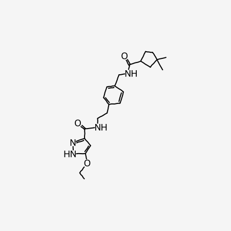 CCOc1cc(C(=O)NCCc2ccc(CNC(=O)C3CCC(C)(C)C3)cc2)n[nH]1